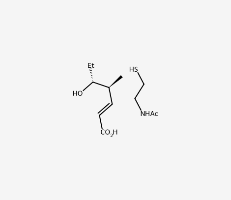 CC(=O)NCCS.CC[C@@H](O)[C@@H](C)/C=C/C(=O)O